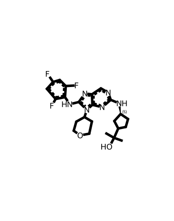 CC(C)(O)C1CC[C@H](Nc2ncc3nc(Nc4c(F)cc(F)cc4F)n(C4CCOCC4)c3n2)C1